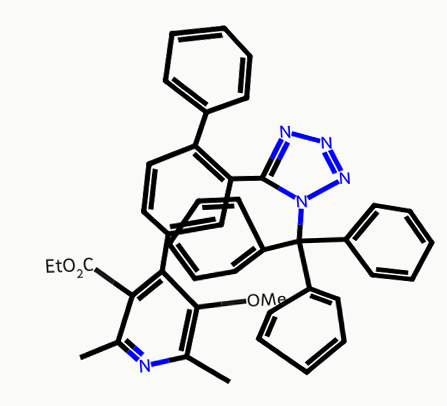 CCOC(=O)c1c(C)nc(C)c(OC)c1-c1ccc(-c2ccccc2)c(-c2nnnn2C(c2ccccc2)(c2ccccc2)c2ccccc2)c1